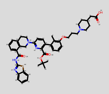 Cc1c(OCCCN2CCC(CC(=O)O)CC2)cccc1-c1ccc(N2CCc3cccc(C(=O)Nc4nc5ccccc5s4)c3C2)nc1C(=O)OC(C)(C)C